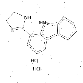 Cl.Cl.c1ccc2c(c1)[nH]c1c(C3=NCCN3)cccc12